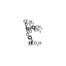 CCOC(Cc1ccc(OCCN(CCCOCC(F)(F)F)C(=O)Nc2cc(C)c(C)cc2C)cc1)C(=O)O